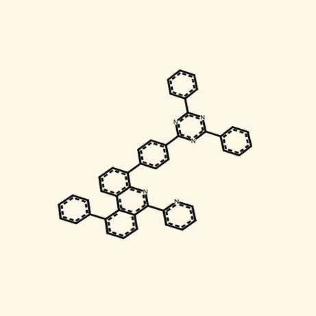 c1ccc(-c2nc(-c3ccccc3)nc(-c3ccc(-c4cccc5c4nc(-c4ccccn4)c4cccc(-c6ccccc6)c45)cc3)n2)cc1